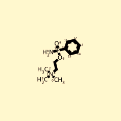 C[N+](C)(C)CCOP(N)(=O)c1ccccc1